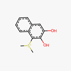 C[S+](C)c1c(O)c(O)cc2ccccc12